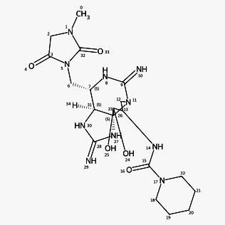 CN1CC(=O)N(C[C@@H]2NC(=N)N3CC(NC(=O)N4CCCCC4)C(O)(O)[C@@]34NC(=N)N[C@@H]24)C1=O